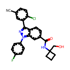 N#Cc1ccc(Cl)c(-c2nn(-c3ccc(F)cc3)c3cc(C(=O)NC4(CO)CCC4)ccc23)c1